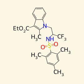 CCOC(=O)c1c(C)n(CC(NS(=O)(=O)c2c(C)cc(C)cc2C)C(F)(F)F)c2ccccc12